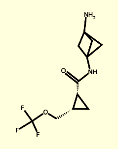 NC12CC(NC(=O)[C@@H]3C[C@@H]3COC(F)(F)F)(C1)C2